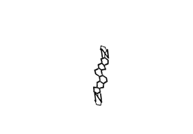 c1cc2cc3c(ccc4c5cc6ccc(N7CCCC7)cc6cc5ccc34)cc2cc1N1CCCC1